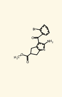 COC(=O)C1Cc2sc(N)c(C(=O)c3ccccc3Br)c2C1